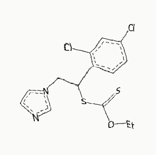 CCOC(=S)SC(Cn1ccnc1)c1ccc(Cl)cc1Cl